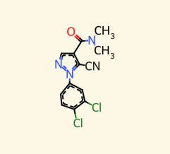 CN(C)C(=O)c1cnn(-c2ccc(Cl)c(Cl)c2)c1C#N